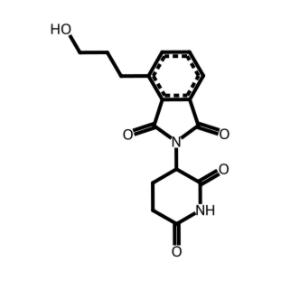 O=C1CCC(N2C(=O)c3cccc(CCCO)c3C2=O)C(=O)N1